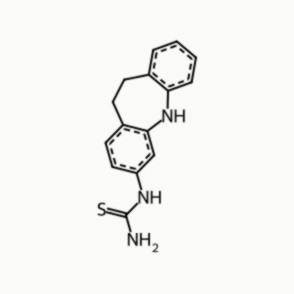 NC(=S)Nc1ccc2c(c1)Nc1ccccc1CC2